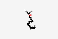 CC/C=C\C/C=C\C/C=C\C/C=C\C/C=C\CCCC(=O)OC(COC(C)=O)COC(C)=O